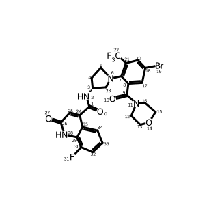 O=C(N[C@@H]1CCN(c2c(C(=O)N3CCOCC3)cc(Br)cc2C(F)(F)F)C1)c1cc(=O)[nH]c2c(F)cccc12